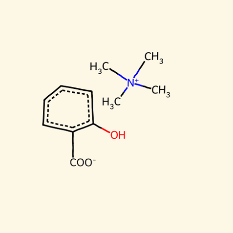 C[N+](C)(C)C.O=C([O-])c1ccccc1O